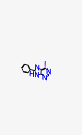 Ic1ncnc2[nH]c(-c3ccccc3)nc12